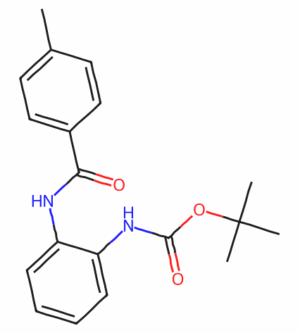 Cc1ccc(C(=O)Nc2ccccc2NC(=O)OC(C)(C)C)cc1